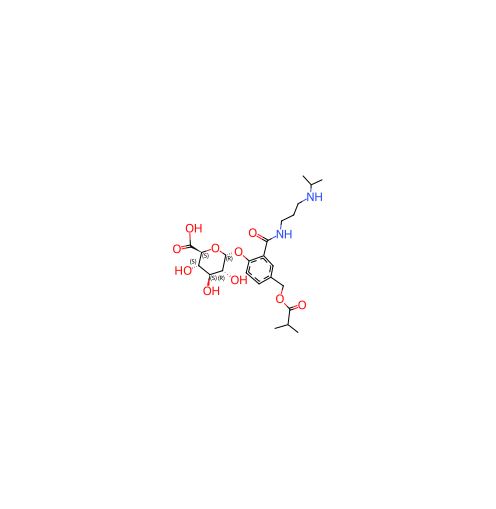 CC(C)NCCCNC(=O)c1cc(COC(=O)C(C)C)ccc1O[C@H]1O[C@H](C(=O)O)[C@@H](O)[C@H](O)[C@H]1O